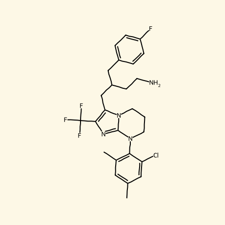 Cc1cc(C)c(N2CCCn3c2nc(C(F)(F)F)c3CC(CCN)Cc2ccc(F)cc2)c(Cl)c1